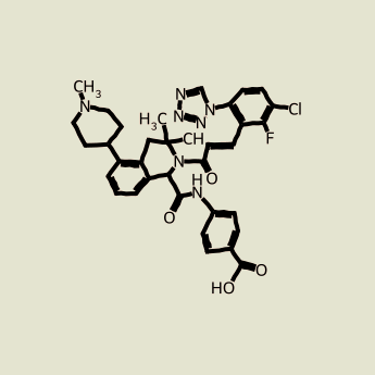 CN1CCC(c2cccc3c2CC(C)(C)N(C(=O)/C=C/c2c(-n4cnnn4)ccc(Cl)c2F)C3C(=O)Nc2ccc(C(=O)O)cc2)CC1